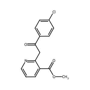 COC(=O)c1cccnc1CC(=O)c1ccc(Cl)cc1